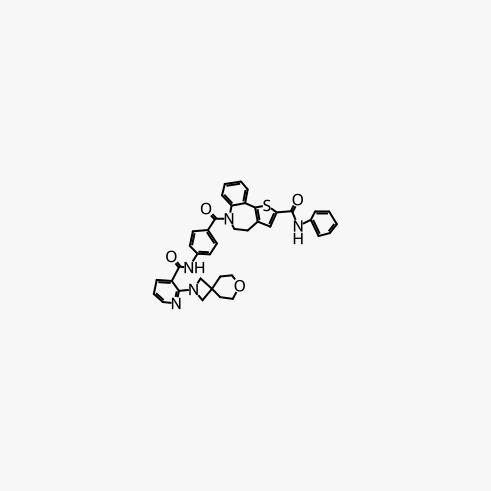 O=C(Nc1ccccc1)c1cc2c(s1)-c1ccccc1N(C(=O)c1ccc(NC(=O)c3cccnc3N3CC4(CCOCC4)C3)cc1)CC2